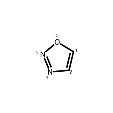 [c]1conn1